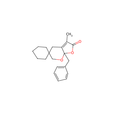 CC1=C2CC3(CCCCC3)COC2(Cc2ccccc2)OC1=O